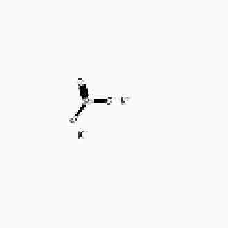 [K+].[K+].[O]=[Sn]([O-])[O-]